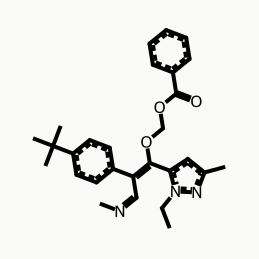 CCn1nc(C)cc1/C(OCOC(=O)c1ccccc1)=C(\C=N/C)c1ccc(C(C)(C)C)cc1